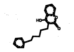 O=c1oc2ccccc2c(O)c1CCCCCc1ccccc1